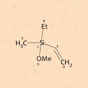 C=C[Si](C)(CC)OC